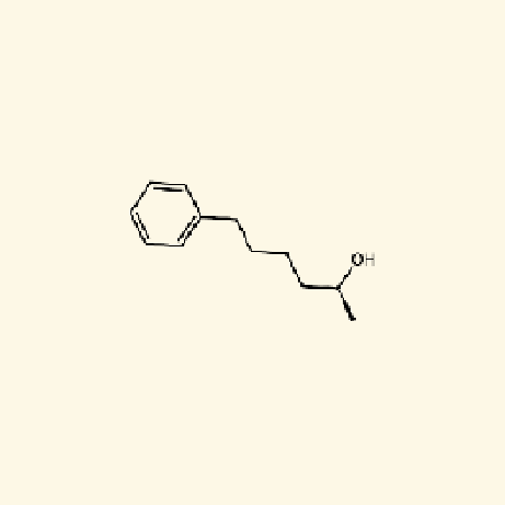 C[C@H](O)CCCCc1ccccc1